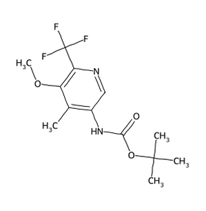 COc1c(C(F)(F)F)ncc(NC(=O)OC(C)(C)C)c1C